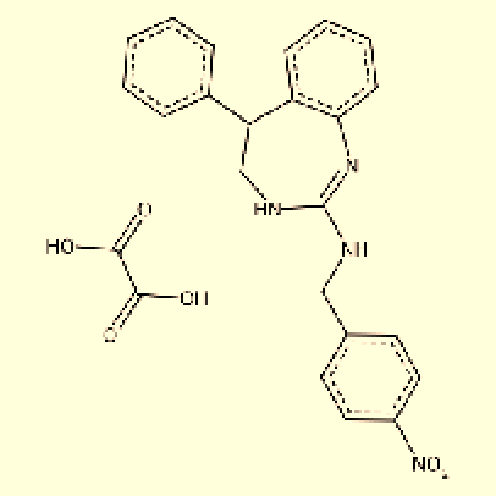 O=C(O)C(=O)O.O=[N+]([O-])c1ccc(CNC2=Nc3ccccc3C(c3ccccc3)CN2)cc1